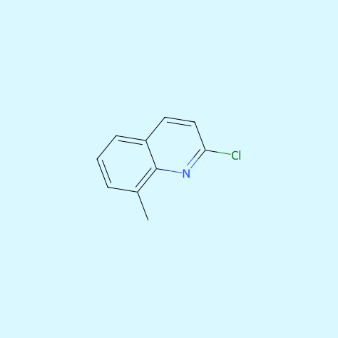 Cc1cccc2ccc(Cl)nc12